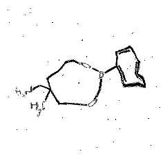 CC1(N)CCOB(c2ccccc2)OCC1